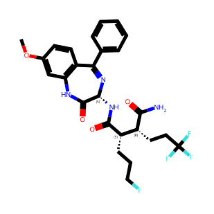 COc1ccc2c(c1)NC(=O)[C@@H](NC(=O)[C@@H](CCCF)[C@@H](CCC(F)(F)F)C(N)=O)N=C2c1ccccc1